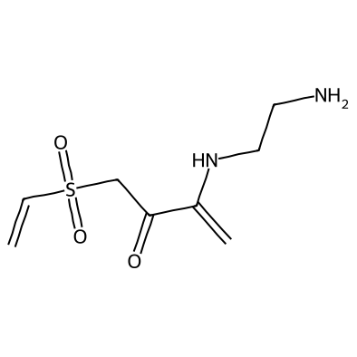 C=CS(=O)(=O)CC(=O)C(=C)NCCN